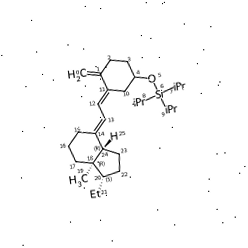 C=C1CCC(O[Si](C(C)C)(C(C)C)C(C)C)CC1=CC=C1CCC[C@]2(C)[C@@H](CC)CC[C@@H]12